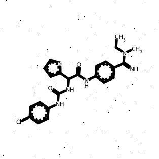 CCN(C)C(=N)c1ccc(NC(=O)C(NC(=O)Nc2ccc(Cl)cc2)c2cccs2)cc1